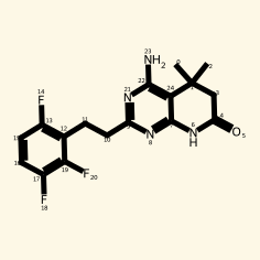 CC1(C)CC(=O)Nc2nc(CCc3c(F)ccc(F)c3F)nc(N)c21